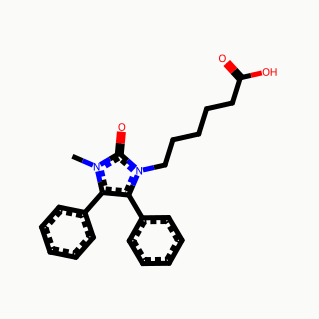 Cn1c(-c2ccccc2)c(-c2ccccc2)n(CCCCCC(=O)O)c1=O